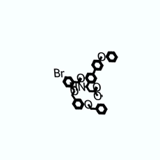 COC(=O)CC(NC(=O)c1cc(Br)ccc1OCc1cccc(OCc2ccccc2)c1)c1ccc(-c2ccc(Oc3ccccc3)cc2)cc1